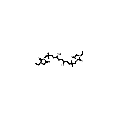 CCN1CC(=O)N(CC(C)(C)CCC(O)CCC(O)CCC(C)(C)CN2C(=O)CN(CC)C2=S)C1=S